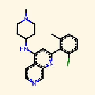 Cc1cccc(F)c1-c1cc(NC2CCN(C)CC2)c2ccncc2n1